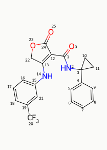 O=C(NC1(c2ccccc2)CC1)C1=C(Nc2cccc(C(F)(F)F)c2)COC1=O